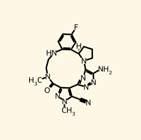 CN1CCNc2ccc(F)cc2[C@H]2CCCN2c2nc(nnc2N)-c2c(nn(C)c2C#N)C1=O